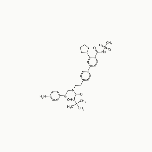 CC(C)(C)OC(=O)N(CCc1ccc(-c2ccc(C(=O)NS(C)(=O)=O)c(C3CCCC3)c2)cc1)C[C@H](O)c1ccc(N)cc1